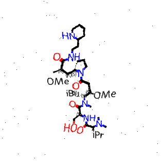 CC[C@H](C)[C@@H]([C@@H](CC(=O)N1CCC[C@H]1[C@H](OC)[C@@H](C)C(=O)NCCC1CCCCN1)OC)N(C)C(=O)[C@H](CO)NC(=O)C(C(C)C)N(C)C